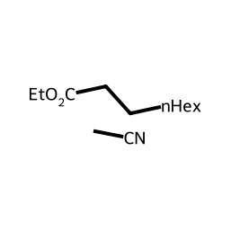 CC#N.CCCCCCCCC(=O)OCC